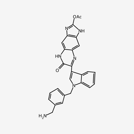 CC(=O)Oc1nc2cc3[nH]c(=O)c(-c4cn(Cc5cccc(CN)c5)c5ccccc45)nc3cc2[nH]1